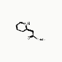 COC(=O)C=C1CCCCN1